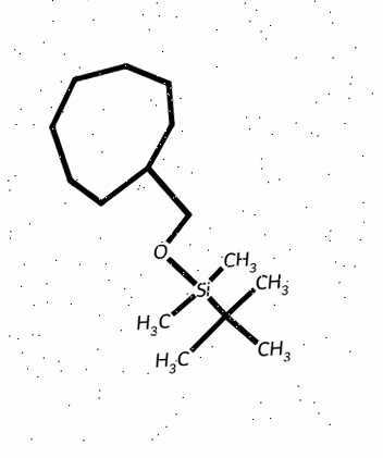 CC(C)(C)[Si](C)(C)OCC1CCCCCCC1